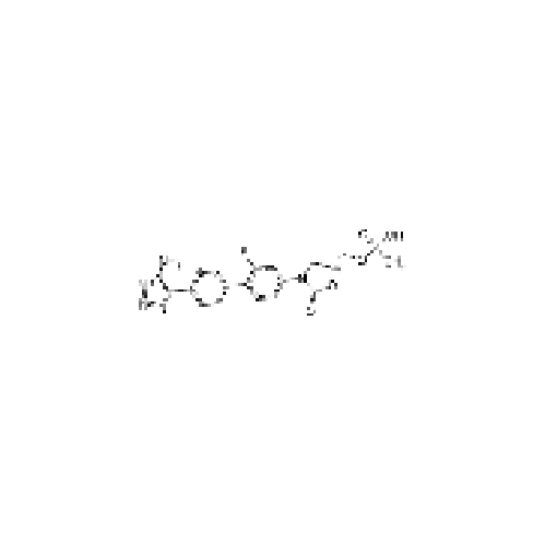 Cn1nnnc1-c1ccc(-c2ccc(N3C[C@H](COP(C)(=O)O)OC3=O)cc2F)cn1